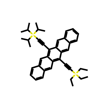 CCS(C#Cc1c2cc3ccccc3cc2c(C#CS(C(C)C)(C(C)C)C(C)C)c2cc3ccccc3cc12)(CC)CC